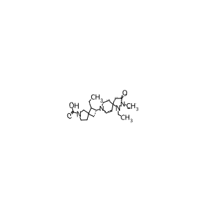 CCC1C(N2CCC3(CC2)CC(=O)N(C)N3CC)CC12CCN(C(=O)O)C2